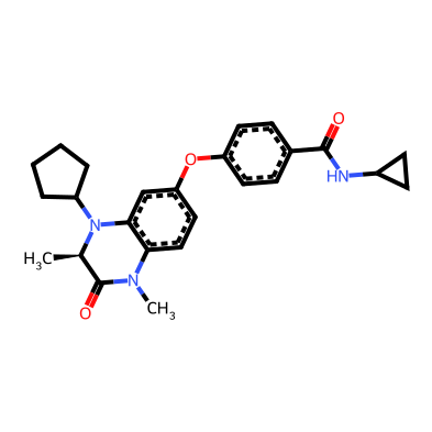 C[C@@H]1C(=O)N(C)c2ccc(Oc3ccc(C(=O)NC4CC4)cc3)cc2N1C1CCCC1